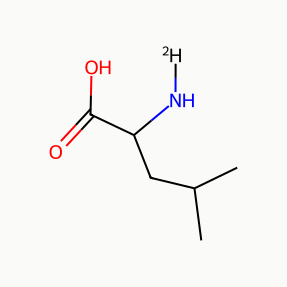 [2H]NC(CC(C)C)C(=O)O